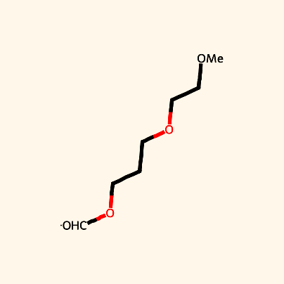 COCCOCCCO[C]=O